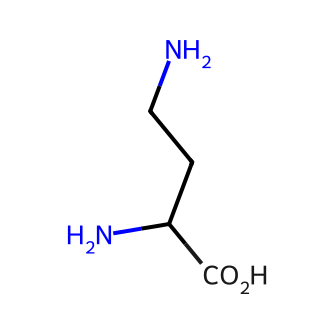 NCCC(N)C(=O)O